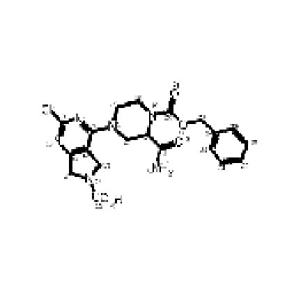 NC(=O)C1CN(c2nc(Cl)nc3c2CN(C(=O)O)C3)CCN1C(=O)OCc1ccccc1